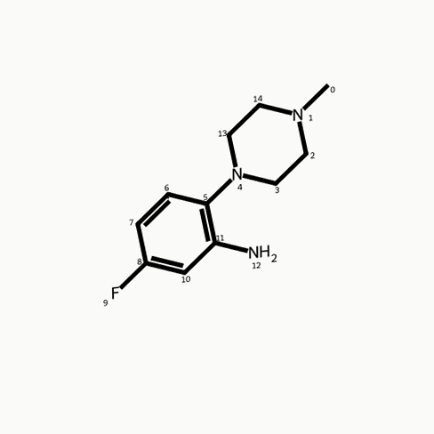 CN1CCN(c2[c]cc(F)cc2N)CC1